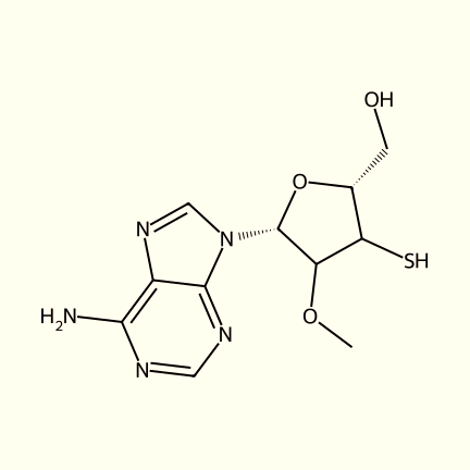 COC1C(S)[C@@H](CO)O[C@H]1n1cnc2c(N)ncnc21